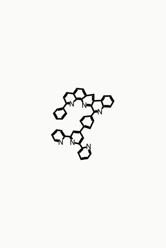 c1ccc(-c2ccc3ccc4cc5c(nc4c3n2)c(-c2ccc(-c3cc(-c4ccccn4)nc(-c4ccccn4)c3)cc2)nc2ccccc25)cc1